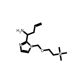 C=CCC(N)c1nccn1COCC[Si](C)(C)C